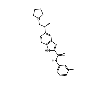 C[C@H](CN1CCCC1)c1ccc2[nH]c(C(=O)Nc3cccc(F)c3)cc2c1